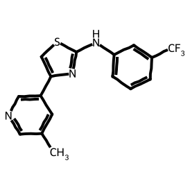 Cc1cncc(-c2csc(Nc3cccc(C(F)(F)F)c3)n2)c1